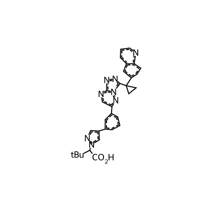 CC(C)(C)C(C(=O)O)n1cc(-c2cccc(-c3cnc4nnc(C5(c6ccc7ncccc7c6)CC5)n4n3)c2)cn1